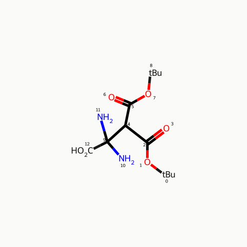 CC(C)(C)OC(=O)C(C(=O)OC(C)(C)C)C(N)(N)C(=O)O